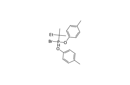 CCC(C)(C)[PH](Br)(Oc1ccc(C)cc1)Oc1ccc(C)cc1